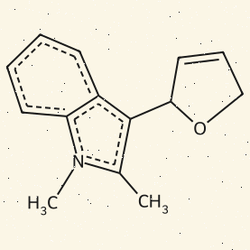 Cc1c(C2C=CCO2)c2ccccc2n1C